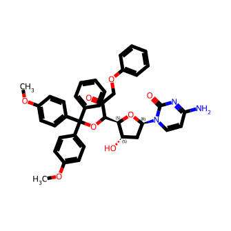 COc1ccc(C(OC(C(=O)COc2ccccc2)[C@H]2O[C@@H](n3ccc(N)nc3=O)C[C@@H]2O)(c2ccccc2)c2ccc(OC)cc2)cc1